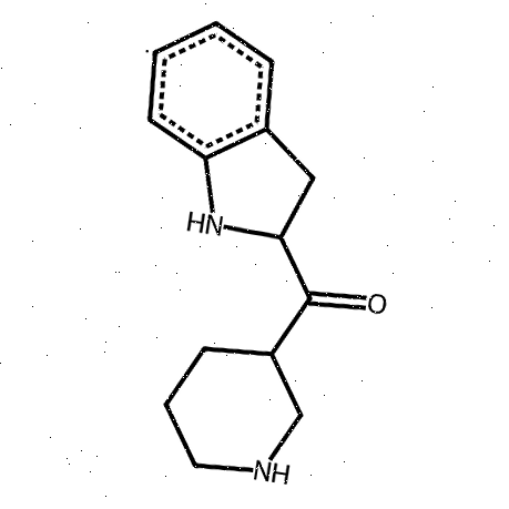 O=C(C1CCCNC1)C1Cc2cc[c]cc2N1